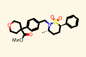 COC(=O)C1(c2ccc(CN3[C@@H](C)CC[C@H](c4ccccc4)S3(=O)=O)cc2)CCOCC1